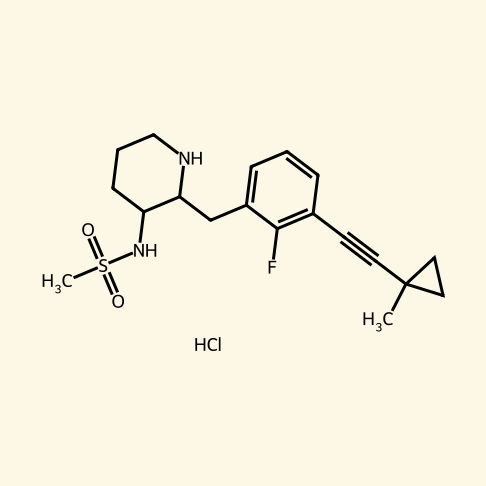 CC1(C#Cc2cccc(CC3NCCCC3NS(C)(=O)=O)c2F)CC1.Cl